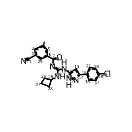 N#Cc1cccc(C(=O)/N=C(\Nc2cc(-c3ccc(Cl)cc3)n[nH]2)NC2CCC2)c1